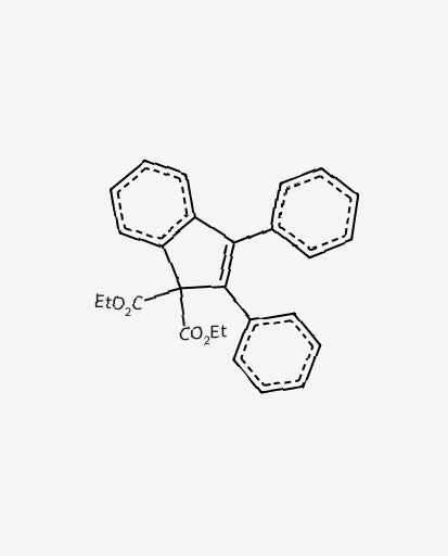 CCOC(=O)C1(C(=O)OCC)C(c2ccccc2)=C(c2ccccc2)c2ccccc21